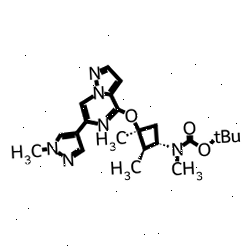 C[C@@H]1[C@@H](N(C)C(=O)OC(C)(C)C)C[C@]1(C)Oc1nc(-c2cnn(C)c2)cn2nccc12